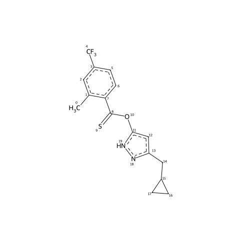 Cc1cc(C(F)(F)F)ccc1C(=S)Oc1cc(CC2CC2)n[nH]1